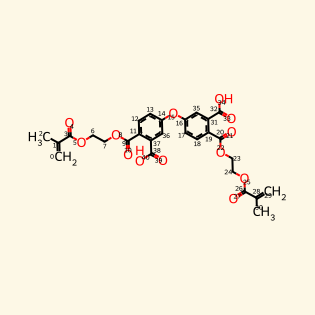 C=C(C)C(=O)OCCOC(=O)c1ccc(Oc2ccc(C(=O)OCCOC(=O)C(=C)C)c(C(=O)O)c2)cc1C(=O)O